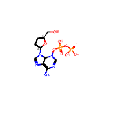 NC1=C2N=CN([C@H]3CC[C@@H](CO)O3)C2N(OP(=O)(O)OP(=O)(O)O)C=N1